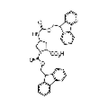 O=C(NC1CC(C(=O)O)N(C(=O)OCC2c3ccccc3-c3ccccc32)C1)OCC1c2ccccc2-c2ccccc21